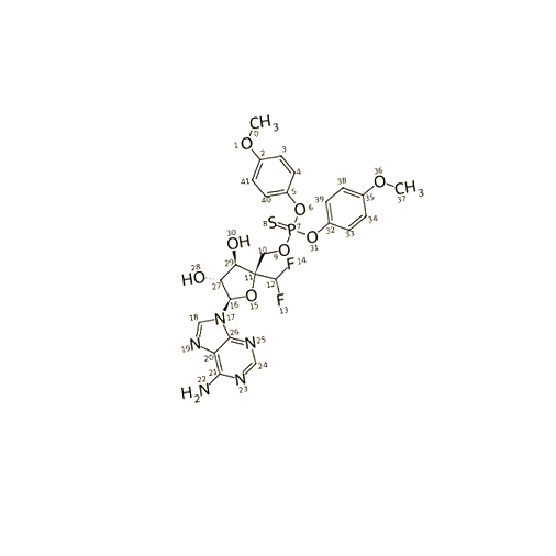 COc1ccc(OP(=S)(OC[C@@]2(C(F)F)O[C@@H](n3cnc4c(N)ncnc43)[C@H](O)[C@H]2O)Oc2ccc(OC)cc2)cc1